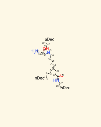 CCCCCCCCCCCCCC/C(=C\CCCCN(CCCCCCCCCCCCCC)CC(O)CN)CCC(=O)NCCCCCCCCCCCC